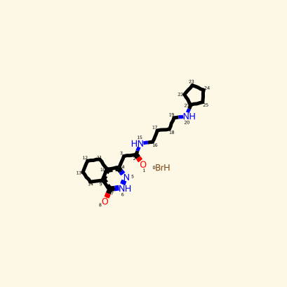 Br.O=C(Cc1n[nH]c(=O)c2c1CCCC2)NCCCCNC1CCCC1